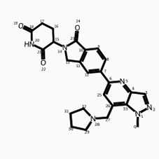 Cn1ncc2nc(-c3ccc4c(c3)CN(C3CCC(=O)NC3=O)C4=O)cc(CN3CCCC3)c21